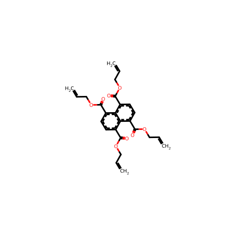 C=CCOC(=O)c1ccc(C(=O)OCC=C)c2c(C(=O)OCC=C)ccc(C(=O)OCC=C)c12